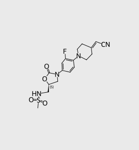 CS(=O)(=O)NC[C@@H]1CN(c2ccc(N3CCC(=CC#N)CC3)c(F)c2)C(=O)O1